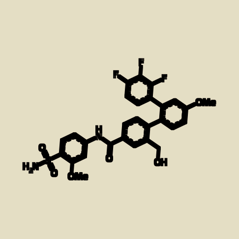 COc1ccc(-c2ccc(C(=O)Nc3ccc(S(N)(=O)=O)c(OC)c3)cc2CO)c(-c2ccc(F)c(F)c2F)c1